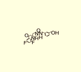 O=C1CC2(CCN(C(=O)NCc3cccc(CO)c3)CC2)Nc2c(F)cc(F)cc21